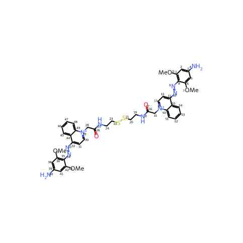 COc1cc(N)cc(OC)c1/N=N/c1cc[n+](CC(=O)NCCSSCCNC(=O)C[n+]2ccc(/N=N/c3c(OC)cc(N)cc3OC)c3ccccc32)c2ccccc12